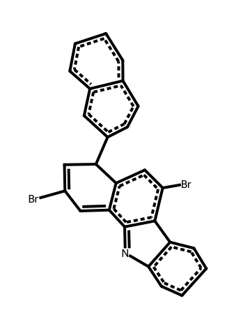 BrC1=CC(c2ccc3ccccc3c2)c2cc(Br)c3c(c2=C1)=Nc1ccccc1-3